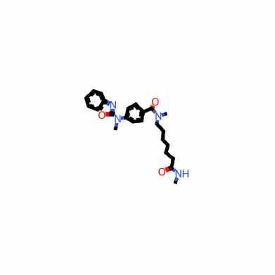 CNC(=O)CCCCCCN(C)C(=O)c1ccc(N(C)c2nc3ccccc3o2)cc1